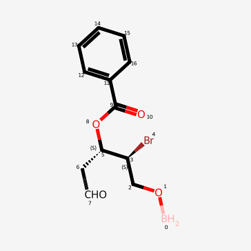 BOC[C@H](Br)[C@H](CC=O)OC(=O)c1ccccc1